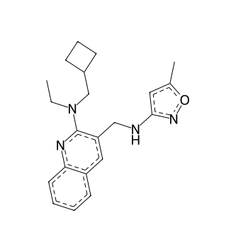 CCN(CC1CCC1)c1nc2ccccc2cc1CNc1cc(C)on1